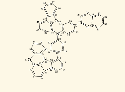 c1ccc2c(c1)Oc1cccc3c4cccc(-c5ccc(N(c6ccc(-c7ccc8ccccc8c7)cc6)c6cccc7c6oc6ccccc67)cc5)c4n-2c13